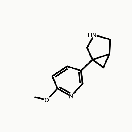 COc1ccc(C23CNCC2C3)cn1